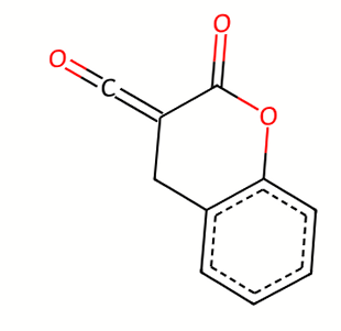 O=C=C1Cc2ccccc2OC1=O